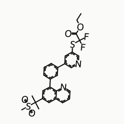 CCOC(=O)C(F)(F)Sc1cncc(-c2cccc(-c3cc(C(C)(C)S(C)(=O)=O)cc4cccnc34)c2)c1